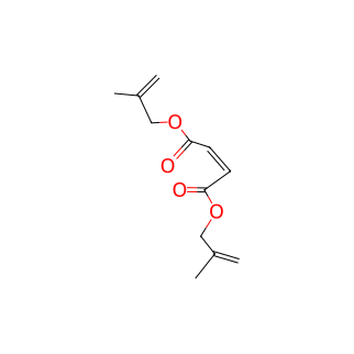 C=C(C)COC(=O)/C=C\C(=O)OCC(=C)C